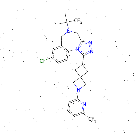 CC(C)(N1Cc2cc(Cl)ccc2-n2c(nnc2C2CC3(C2)CN(c2cccc(C(F)(F)F)n2)C3)C1)C(F)(F)F